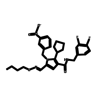 CCCCO/N=C/c1cc(C(=O)NCc2ccc(F)c(F)c2)c(C2CCCC2)n1Cc1cccc([N+](=O)[O-])c1